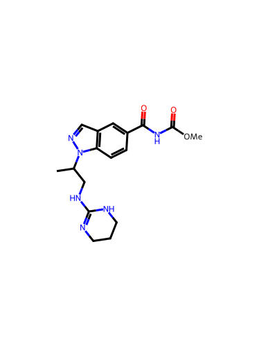 COC(=O)NC(=O)c1ccc2c(cnn2C(C)CNC2=NCCCN2)c1